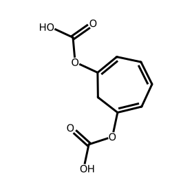 O=C(O)OC1=CC=CC=C(OC(=O)O)C1